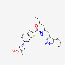 CCCCC(Cc1c[nH]c2ccccc12)NC(=O)c1cc2ccc(N3CC(C)(O)C3)cc2s1